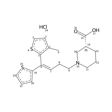 Cc1ccsc1C(=CCCN1CCC[C@@H](C(=O)O)C1)c1cccs1.Cl